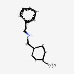 O=C(O)C1CCC(CN=Cc2ccccc2)CC1